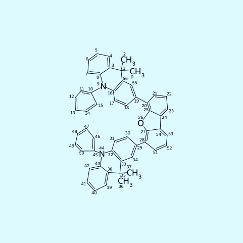 CC1(C)c2ccccc2N(c2ccccc2)c2ccc(-c3cccc4c3oc3c(-c5ccc6c(c5)C(C)(C)c5ccccc5N6c5ccccc5)cccc34)cc21